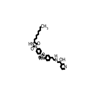 CCCCCCCCC1NC(=O)N(c2ccc(S(=O)(=O)Nc3ccc(CCNCC(O)c4cccnc4)cc3)cc2)C1=O